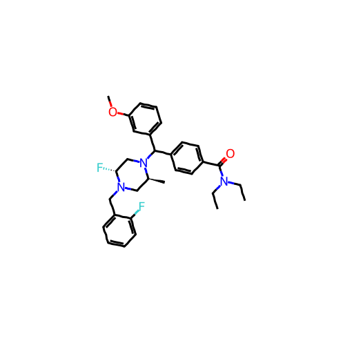 CCN(CC)C(=O)c1ccc(C(c2cccc(OC)c2)N2C[C@@H](F)N(Cc3ccccc3F)C[C@@H]2C)cc1